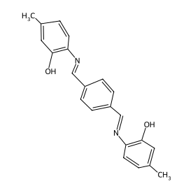 Cc1ccc(/N=C/c2ccc(/C=N/c3ccc(C)cc3O)cc2)c(O)c1